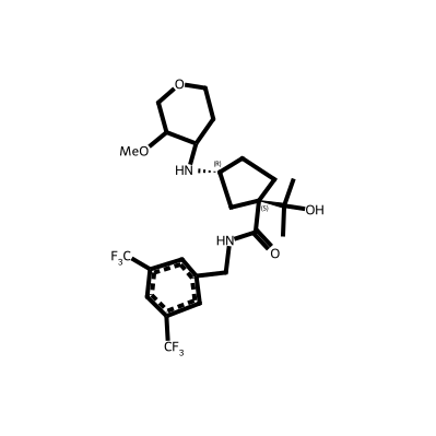 COC1COCCC1N[C@@H]1CC[C@@](C(=O)NCc2cc(C(F)(F)F)cc(C(F)(F)F)c2)(C(C)(C)O)C1